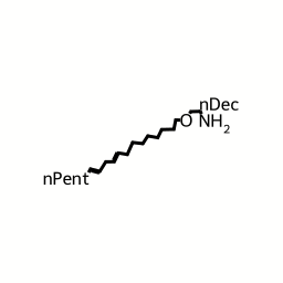 CCCCCC=CCC=CCCCCCCCCOCC(N)CCCCCCCCCC